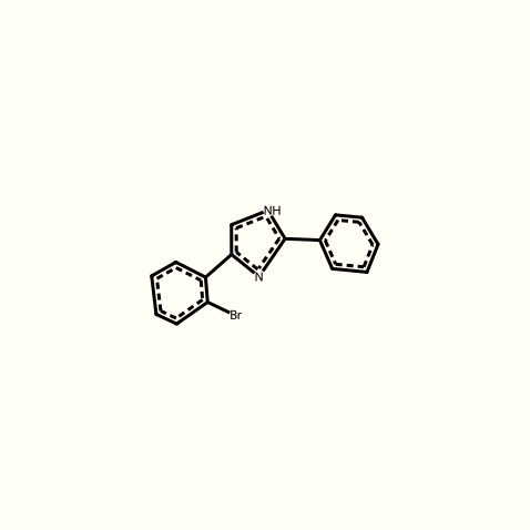 Brc1ccccc1-c1c[nH]c(-c2ccccc2)n1